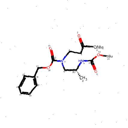 COC(=O)CCN(C[C@@H](C)NC(=O)OC(C)(C)C)C(=O)OCc1ccccc1